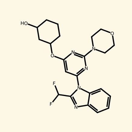 OC1CCCC(Oc2cc(-n3c(C(F)F)nc4ccccc43)nc(N3CCOCC3)n2)C1